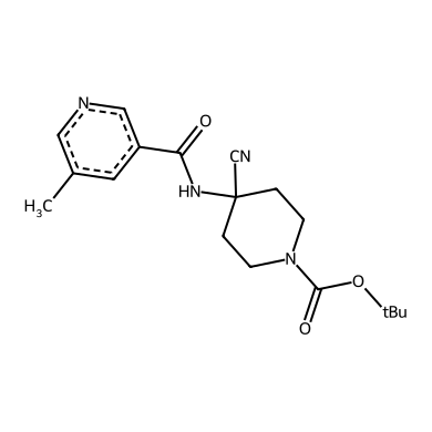 Cc1cncc(C(=O)NC2(C#N)CCN(C(=O)OC(C)(C)C)CC2)c1